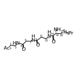 CC(=O)CCNC(=O)CCNC(=O)CCNC(=O)[C@H](N)CSC(C)C